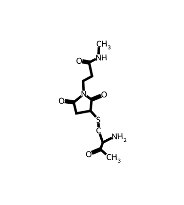 CNC(=O)CCN1C(=O)CC(SCC(N)C(C)=O)C1=O